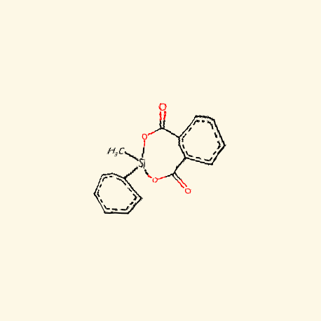 C[Si]1(c2ccccc2)OC(=O)c2ccccc2C(=O)O1